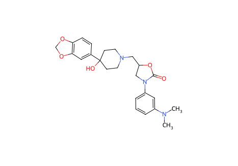 CN(C)c1cccc(N2CC(CN3CCC(O)(c4ccc5c(c4)OCO5)CC3)OC2=O)c1